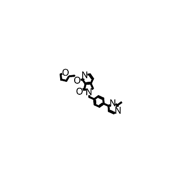 Cc1nccc(-c2ccc(CN3Cc4ccnc(OCC5CCCO5)c4C3=O)cc2)n1